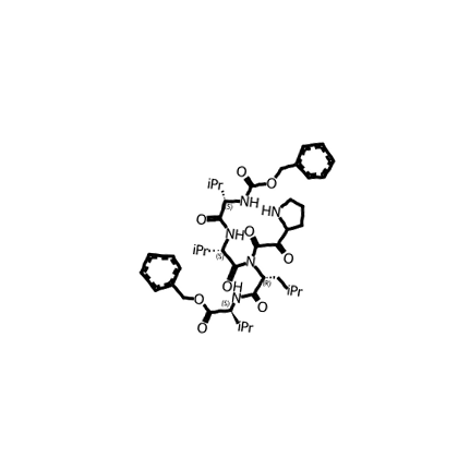 CC(C)C[C@H](C(=O)N[C@H](C(=O)OCc1ccccc1)C(C)C)N(C(=O)C(=O)C1CCCN1)C(=O)[C@@H](NC(=O)[C@@H](NC(=O)OCc1ccccc1)C(C)C)C(C)C